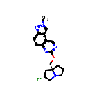 Cn1cc2c(ccc3nc(OC[C@@]45CCCN4C[C@H](F)C5)ncc32)n1